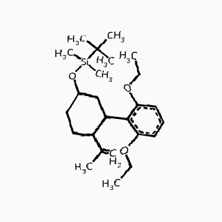 C=C(C)C1CCC(O[Si](C)(C)C(C)(C)C)CC1c1c(OCC)cccc1OCC